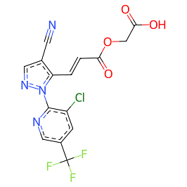 N#Cc1cnn(-c2ncc(C(F)(F)F)cc2Cl)c1/C=C/C(=O)OCC(=O)O